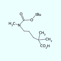 CN(CCCC(C)(C)C(=O)O)C(=O)OC(C)(C)C